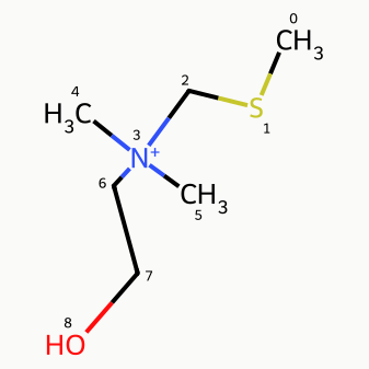 CSC[N+](C)(C)CCO